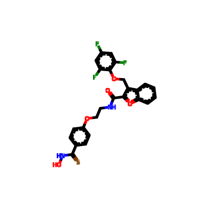 O=C(NCCOc1ccc(C(=S)NO)cc1)c1oc2ccccc2c1COc1c(F)cc(F)cc1F